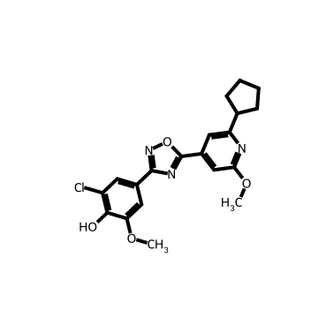 COc1cc(-c2nc(-c3cc(Cl)c(O)c(OC)c3)no2)cc(C2CCCC2)n1